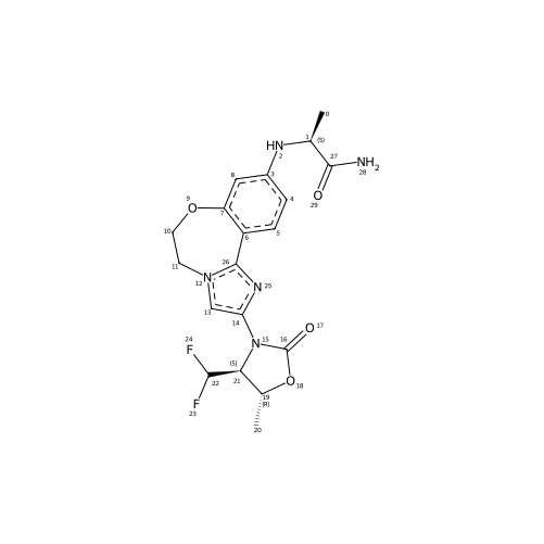 C[C@H](Nc1ccc2c(c1)OCCn1cc(N3C(=O)O[C@H](C)[C@H]3C(F)F)nc1-2)C(N)=O